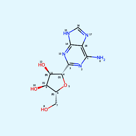 Nc1nc([C@@H]2O[C@H](CO)[C@@H](O)[C@H]2O)nc2[nH]cnc12